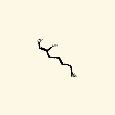 CCCCCCCC/C(O)=C/O